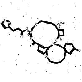 CO[C@H]1/C=C/CCCS(=O)(NC(=O)CCc2ccon2)=NC(=O)c2ccc3c(c2)N(Cc2ccc(Cl)cc2CCCCO3)C[C@@H]2CC[C@H]21